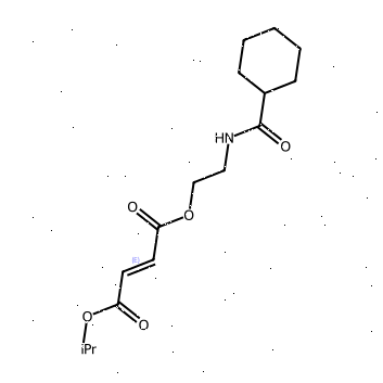 CC(C)OC(=O)/C=C/C(=O)OCCNC(=O)C1CCCCC1